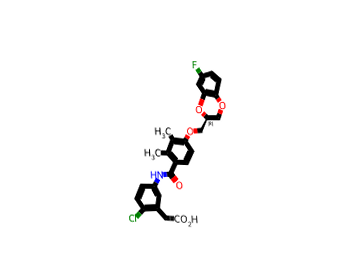 Cc1c(OC[C@@H]2COc3ccc(F)cc3O2)ccc(C(=O)Nc2ccc(Cl)c(CC(=O)O)c2)c1C